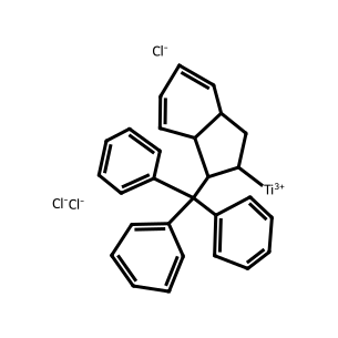 [Cl-].[Cl-].[Cl-].[Ti+3][CH]1CC2C=CC=CC2C1C(c1ccccc1)(c1ccccc1)c1ccccc1